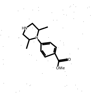 COC(=O)c1ccc(N2C(C)CNCC2C)cc1